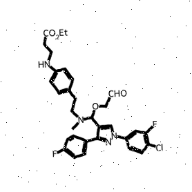 CCOC(=O)CCNc1ccc(CCN(C)C(OCC=O)c2cn(-c3ccc(Cl)c(F)c3)nc2-c2ccc(F)cc2)cc1